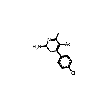 CC(=O)C1=C(c2ccc(Cl)cc2)SC(N)N=C1C